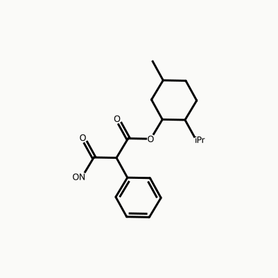 CC1CCC(C(C)C)C(OC(=O)C(C(=O)N=O)c2ccccc2)C1